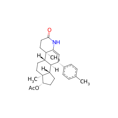 CC(=O)O[C@H]1CC[C@H]2[C@@H]3[C@@H](c4ccc(C)cc4)C=C4NC(=O)CC[C@]4(C)[C@H]3CC[C@]12C